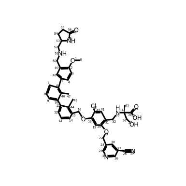 COc1ccc(-c2cccc(-c3cccc(COc4cc(OCc5cncc(C#N)c5)c(CN[C@@](C)(CO)C(=O)O)cc4Cl)c3C)c2C)cc1CNCC1CCC(=O)N1